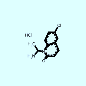 CC(N)n1c(=O)ccc2cc(Cl)ccc21.Cl